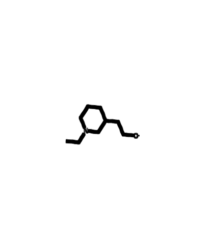 CCN1CCCC(CC[O])C1